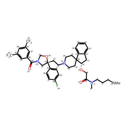 CNCCCN(C)C(=O)CO[C@H]1Cc2ccccc2C12CCN(CC[C@@]1(c3ccc(F)cc3)CN(C(=O)c3cc(C(F)(F)F)cc(C(F)(F)F)c3)CO1)CC2